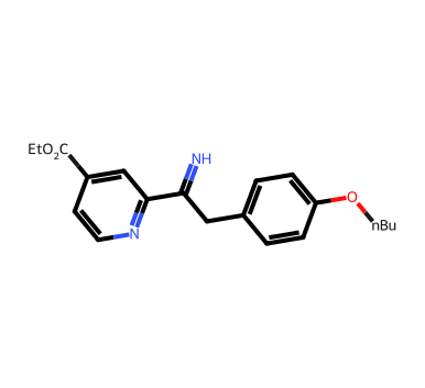 CCCCOc1ccc(CC(=N)c2cc(C(=O)OCC)ccn2)cc1